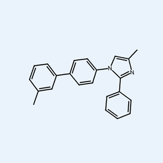 Cc1cccc(-c2ccc(-n3cc(C)nc3-c3ccccc3)cc2)c1